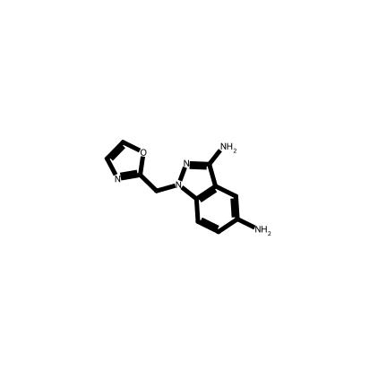 Nc1ccc2c(c1)c(N)nn2Cc1ncco1